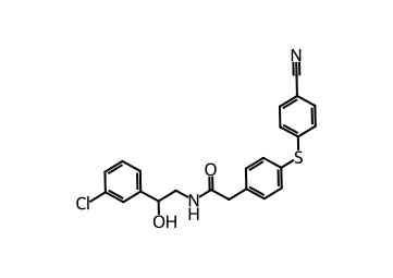 N#Cc1ccc(Sc2ccc(CC(=O)NCC(O)c3cccc(Cl)c3)cc2)cc1